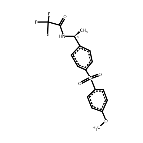 COc1ccc(S(=O)(=O)c2ccc([C@H](C)NC(=O)C(F)(F)F)cc2)cc1